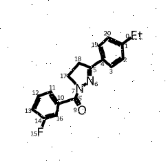 CCc1ccc(C2=NN(C(=O)c3cccc(F)c3)CC2)cc1